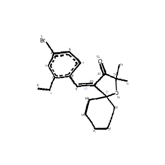 CCc1cc(Br)ccc1/C=C1\C(=O)C(C)(C)OC12CCCCC2